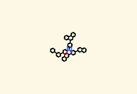 c1ccc(-c2cccc(-c3ccc(N(c4ccc(-c5cc6ccccc6c6ccccc56)cc4)c4cc(-c5ccc6ccccc6c5)ccc4-c4ccc5ccccc5c4)cc3)c2)cc1